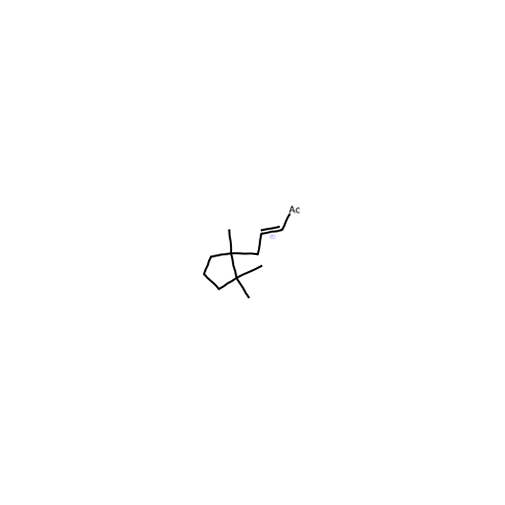 CC(=O)/C=C/CC1(C)CCCC1(C)C